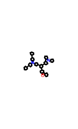 c1ccc(-c2ccc(N(c3ccc(-c4ccccc4)cc3)c3ccc(-c4cc(-c5ccc6oc7ccccc7c6c5)cc(-c5ccc6c(c5)c5ccccc5n6-c5ccccc5)c4)cc3)cc2)cc1